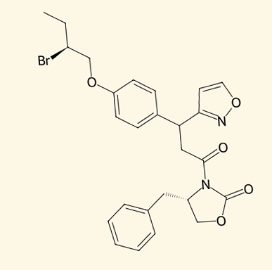 CC[C@H](Br)COc1ccc(C(CC(=O)N2C(=O)OC[C@@H]2Cc2ccccc2)c2ccon2)cc1